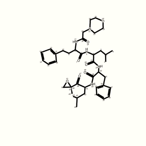 CC(C)CC(NC(=O)C(CCc1ccccc1)NC(=O)CN1CCOCC1)C(=O)NC(Cc1ccccc1)C(=O)NC(CC(C)C)C(=O)[C@]1(C)CO1